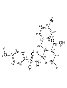 COc1ccc(S(=O)(=O)NC2(C)C=C(C)C=C(C(=O)O)C2Cc2ccc(Br)cc2)cc1